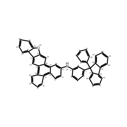 c1ccc(C2(c3cccc(Nc4ccc5c6ccccc6c6cc7c(cc6c5c4)oc4ccccc47)c3)c3ccccc3-c3ccccc32)cc1